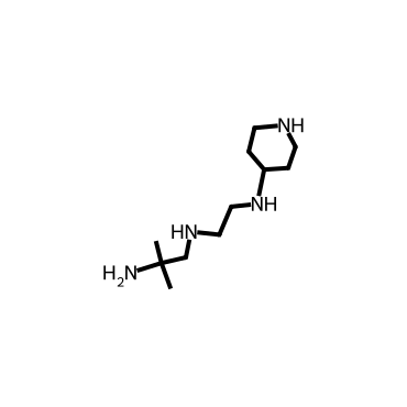 CC(C)(N)CNCCNC1CCNCC1